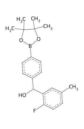 Cc1ccc(F)c(C(O)c2ccc(B3OC(C)(C)C(C)(C)O3)cc2)c1